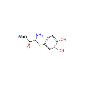 CC(C)COC(=O)C(N)Cc1ccc(O)c(O)c1